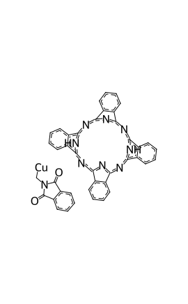 O=C1c2ccccc2C(=O)N1[CH2][Cu].c1ccc2c(c1)-c1nc-2nc2[nH]c(nc3nc(nc4[nH]c(n1)c1ccccc41)-c1ccccc1-3)c1ccccc21